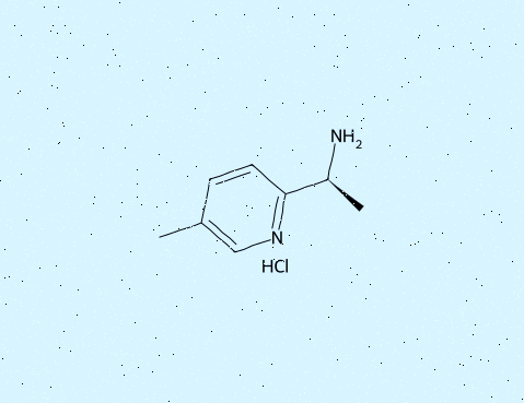 Cc1ccc([C@H](C)N)nc1.Cl